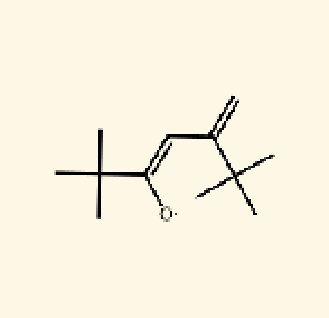 C=C(C=C([O])C(C)(C)C)C(C)(C)C